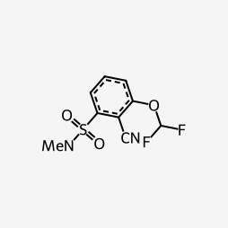 CNS(=O)(=O)c1cccc(OC(F)F)c1C#N